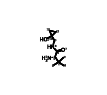 CC(C)(C)[C@H](N)C(=O)NCC1(O)CC1